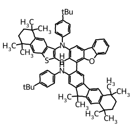 CC(C)(C)c1ccc(Nc2cc3c(cc2-c2c4c(cc5c2oc2ccccc25)N(c2ccc(C(C)(C)C)cc2)c2c(sc5cc6c(cc25)C(C)(C)CCC6(C)C)B4)-c2cc4c(cc2C3(C)C)C(C)(C)CCC4(C)C)cc1